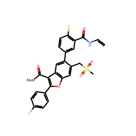 C=CNC(=O)c1cc(-c2cc3c(C(=O)NC)c(-c4ccc(F)cc4)oc3cc2CS(C)(=O)=O)ccc1F